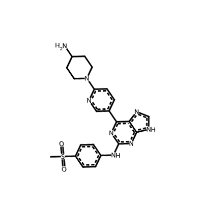 CS(=O)(=O)c1ccc(Nc2nc(-c3ccc(N4CCC(N)CC4)nc3)c3nc[nH]c3n2)cc1